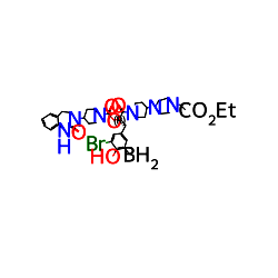 Bc1cc(C[C@@H](OC(=O)N2CCC(N3CCc4ccccc4NC3=O)CC2)C(=O)N2CCC(N3CCN(CC(=O)OCC)CC3)CC2)cc(Br)c1O